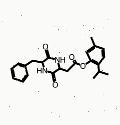 Cc1ccc(C(C)C)c(OC(=O)CC2NC(=O)C(Cc3ccccc3)NC2=O)c1